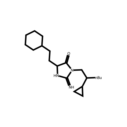 CCCCC(CN1C(=N)NC(CCC2CCCCC2)C1=O)C1CC1